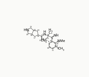 C=C(NC(C)(C)C(=N)c1cccc(C)c1NC)C1CC2CNCC2C1